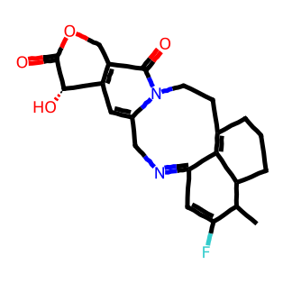 CC1C(F)=C/C2=N/Cc3cc4c(c(=O)n3CCC3=C2C1CCC3)COC(=O)[C@H]4O